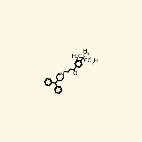 CC(C)(C(=O)O)c1ccc(C(=O)CCCN2CCC(C(c3ccccc3)c3ccccc3)CC2)cc1